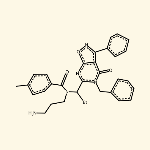 CCC(c1nc2onc(-c3ccccc3)c2c(=O)n1Cc1ccccc1)N(CCCN)C(=O)c1ccc(C)cc1